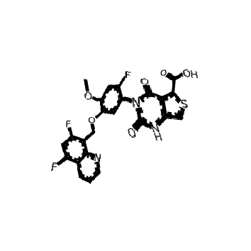 COc1cc(F)c(-n2c(=O)[nH]c3csc(C(=O)O)c3c2=O)cc1OCc1c(F)cc(F)c2cccnc12